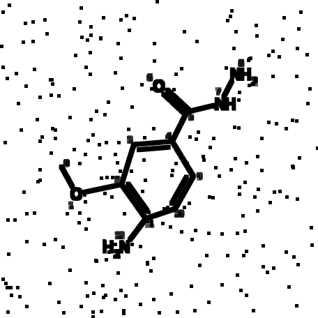 COc1cc(C(=O)NN)ccc1N